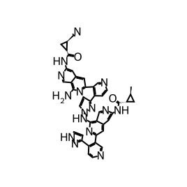 C[C@H]1C[C@@H]1C(=O)Nc1cc2cc(-c3cnccc3-c3cc[nH]n3)nc(Nn3ccc(-c4ccncc4-c4cc5cc(NC(=O)[C@@H]6C[C@H]6C#N)ncc5c(N)n4)n3)c2cn1